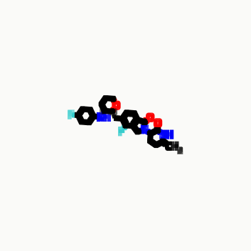 C=C1CCC(N2Cc3c(ccc(C[C@H]4OCCC[C@@H]4NC4CCC(F)CC4)c3F)C2=O)C(=O)N1